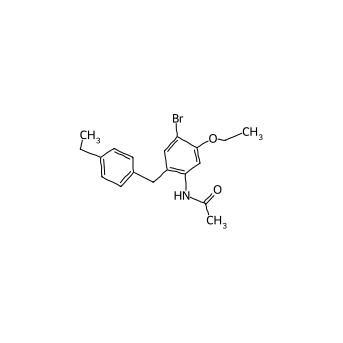 CCOc1cc(NC(C)=O)c(Cc2ccc(CC)cc2)cc1Br